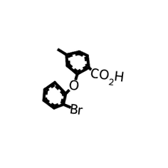 Cc1ccc(C(=O)O)c(Oc2ccccc2Br)c1